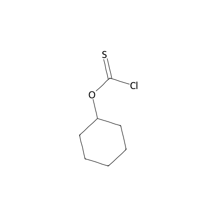 S=C(Cl)OC1CCCCC1